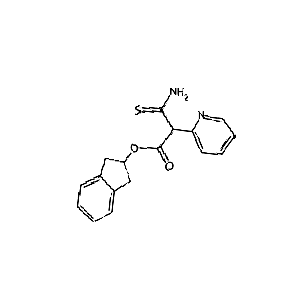 NC(=S)C(C(=O)OC1Cc2ccccc2C1)c1ccccn1